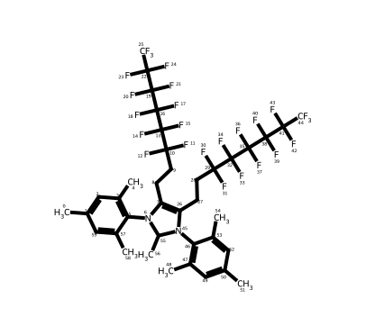 Cc1cc(C)c(N2C(CCC(F)(F)C(F)(F)C(F)(F)C(F)(F)C(F)(F)C(F)(F)F)=C(CCC(F)(F)C(F)(F)C(F)(F)C(F)(F)C(F)(F)C(F)(F)F)N(c3c(C)cc(C)cc3C)C2C)c(C)c1